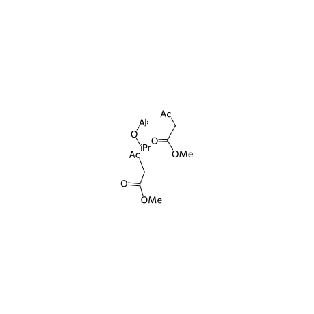 CC(C)[O][Al].COC(=O)CC(C)=O.COC(=O)CC(C)=O